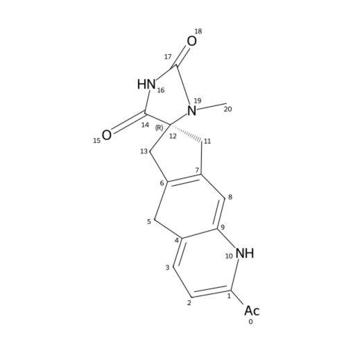 CC(=O)C1=CC=C2CC3=C(C=C2N1)C[C@]1(C3)C(=O)NC(=O)N1C